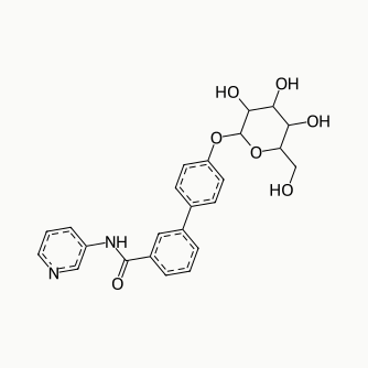 O=C(Nc1cccnc1)c1cccc(-c2ccc(OC3OC(CO)C(O)C(O)C3O)cc2)c1